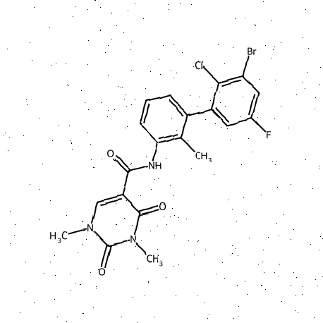 Cc1c(NC(=O)c2cn(C)c(=O)n(C)c2=O)cccc1-c1cc(F)cc(Br)c1Cl